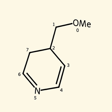 COCC1C=CN=CC1